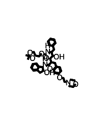 CC1(C)OCC(COC(=O)NC(Cc2ccccc2)C(O)CC(Cc2ccc(OCCN3CCOCC3)cc2)C(=O)N[C@H]2c3ccccc3C[C@@H]2O)O1